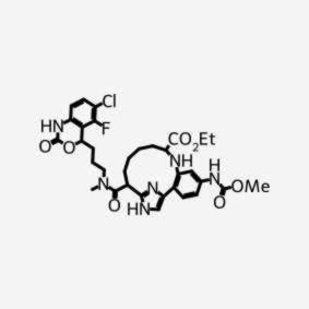 CCOC(=O)C1CCCCC(C(=O)N(C)CCCC2OC(=O)Nc3ccc(Cl)c(F)c32)c2nc(c[nH]2)-c2ccc(NC(=O)OC)cc2N1